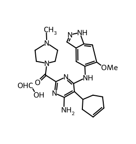 COc1cc2[nH]ncc2cc1Nc1nc(C(=O)N2CCN(C)CC2)nc(N)c1C1CC=CCC1.O=CO